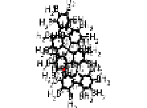 Bc1c(B)c(B)c(C(c2c(B)c(B)c(B)c(B)c2B)(c2c(B)c(B)c(B)c(-n3c4c(B)c(B)c(B)c(B)c4c4c(B)c(B)c(B)c(B)c43)c2B)c2c(B)c(B)c(B)c3c2sc2c(B)c(B)c(B)c(B)c23)c(B)c1B